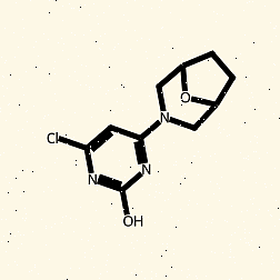 Oc1nc(Cl)cc(N2CC3CCC(C2)O3)n1